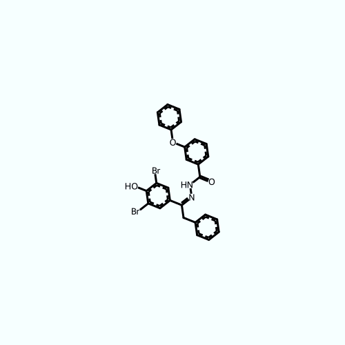 O=C(NN=C(Cc1ccccc1)c1cc(Br)c(O)c(Br)c1)c1cccc(Oc2ccccc2)c1